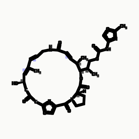 CC1=C\[C@@H](O)CC(=O)Cc2nc(co2)C(=O)N2CCC[C@@H]2C(=O)O[C@H]([C@H](C)COC(=O)Nc2coc(C)n2)[C@H](C)/C=C/C(=O)NC\C=C\1